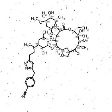 CC[C@H]1OC(=O)[C@H](C)[C@@H](O[C@H]2C[C@@](C)(OC)[C@@H](O)[C@H](C)O2)[C@H](C)[C@@H](O[C@@H]2O[C@H](C)C[C@H](N(C)CCc3cn(Cc4ccc(C#N)cc4)nn3)[C@H]2O)[C@@]2(C)C[C@@H](CO2)C(=O)[C@H](C)[C@@H](O)[C@]1(C)O